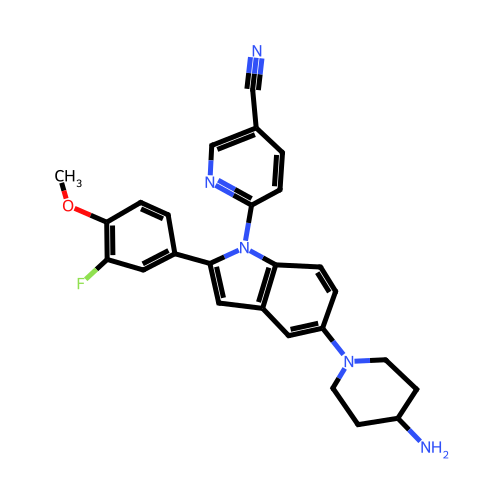 COc1ccc(-c2cc3cc(N4CCC(N)CC4)ccc3n2-c2ccc(C#N)cn2)cc1F